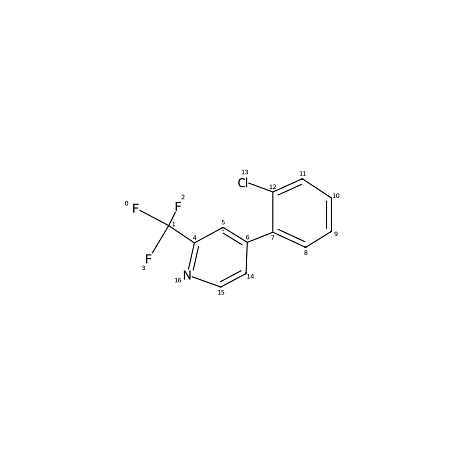 FC(F)(F)c1[c]c(-c2ccccc2Cl)ccn1